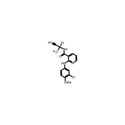 C#C[C@](C)(CC)NC(=O)c1cccnc1Nc1ccc(OC)c(Cl)c1